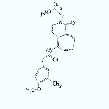 COc1ccc(CC(=O)Nc2cccc3c(=O)n(CC(C)O)ccc23)cc1C